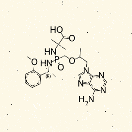 COc1ccccc1[C@@H](C)NP(=O)(COC(C)Cn1cnc2c(N)ncnc21)NC(C)(C)C(=O)O